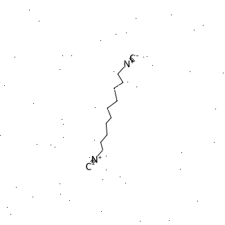 [C-]#[N+]CCCCCCCCCC[N+]#[C-]